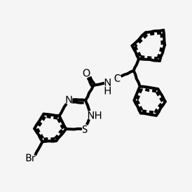 O=C(NCC(c1ccccc1)c1ccccc1)C1=Nc2ccc(Br)cc2SN1